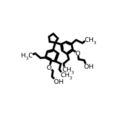 CCCc1cc(C2(c3cc(CCC)c(OCCO)c(CCC)c3)CCCC2)cc(CCC)c1OCCO